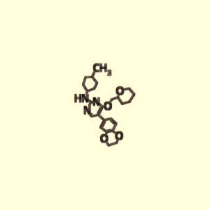 CC1CCC(Nc2ncc(-c3ccc4c(c3)OCCO4)c(OCC3CCCCO3)n2)CC1